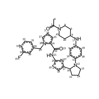 CC(=O)N1CCC(Nc2ccc(N3CCCC3c3csc(NC(=O)c4cccn4Cc4ccnc(F)c4)n3)cc2)CC1